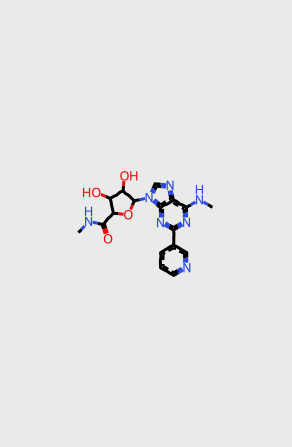 CNC(=O)C1OC(n2cnc3c(NC)nc(-c4cccnc4)nc32)C(O)C1O